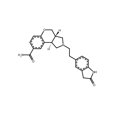 NC(=O)c1ccc2c(c1)[C@@H]1CN(CCc3ccc4c(c3)CC(=O)N4)C[C@H]1CO2